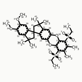 CCS(=O)(=O)c1c(C)c(C)c(S(=O)(=O)CC)c2c1Oc1cc3c(cc1O2)C1(CC(C)(C)c2cc(OC)c(OC)cc21)CC3(C)C